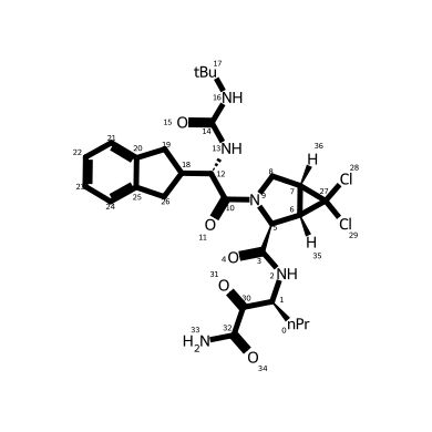 CCC[C@H](NC(=O)[C@@H]1[C@@H]2[C@H](CN1C(=O)[C@@H](NC(=O)NC(C)(C)C)C1Cc3ccccc3C1)C2(Cl)Cl)C(=O)C(N)=O